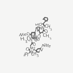 CCC(C)C(C(CC(=O)N1CCCC1C(OC)C(C)C(=O)NC(C)[C@@H](O)c1ccccc1)OC)N(C)C(=O)CNC(=O)C(C(C)C)N(C)Cc1ccnc(NC)c1